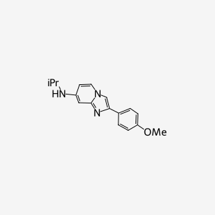 COc1ccc(-c2cn3ccc(NC(C)C)cc3n2)cc1